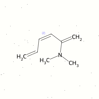 C=C/C=C\C(=C)N(C)C